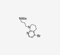 CNCCCN1CCCc2c(Br)ccnc21